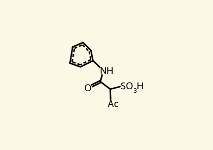 CC(=O)C(C(=O)Nc1ccccc1)S(=O)(=O)O